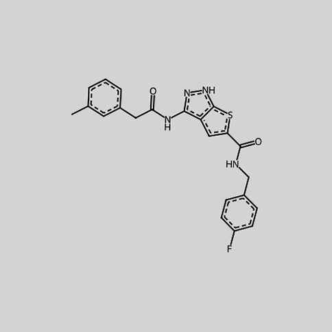 Cc1cccc(CC(=O)Nc2n[nH]c3sc(C(=O)NCc4ccc(F)cc4)cc23)c1